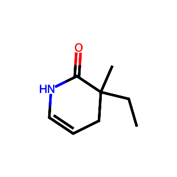 CCC1(C)CC=CNC1=O